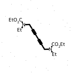 CCOC(=O)N(CC)CC#CC#CCN(CC)C(=O)OCC